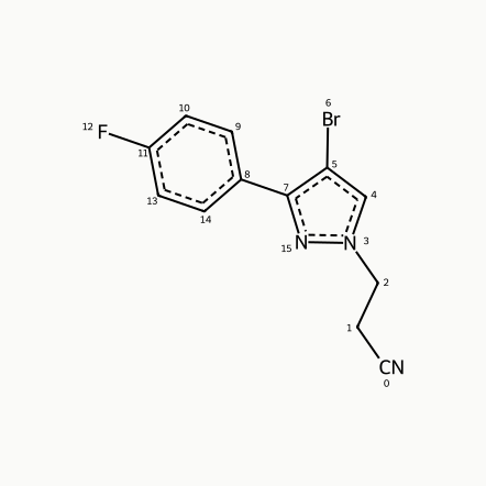 N#CCCn1cc(Br)c(-c2ccc(F)cc2)n1